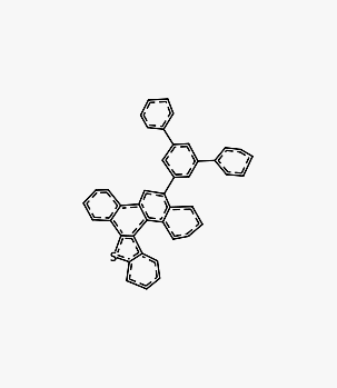 c1ccc(-c2cc(-c3ccccc3)cc(-c3cc4c5ccccc5c5sc6ccccc6c5c4c4ccccc34)c2)cc1